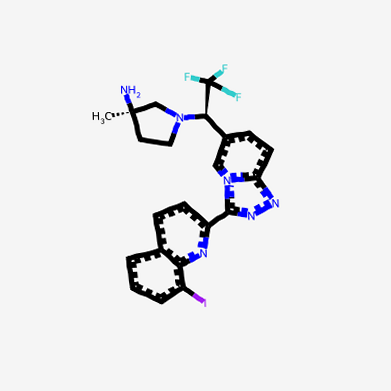 C[C@@]1(N)CCN([C@H](c2ccc3nnc(-c4ccc5cccc(I)c5n4)n3c2)C(F)(F)F)C1